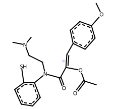 COc1ccc(/C=C(\OC(C)=O)C(=O)N(CCN(C)C)c2ccccc2S)cc1